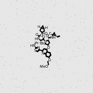 C=C[C@@H]1C[C@]1(NC(=O)[C@@H]1C[C@@H](Oc2cc(-c3csc(NC(C)C)n3)nc3cc(OCCOC)ccc23)CN1C(=O)[C@@H](NC(=O)O[C@H]1C[C@@H]2C[C@@H]2C1)C(C)(C)C)C(=O)O